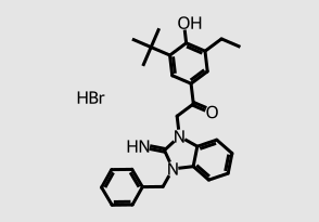 Br.CCc1cc(C(=O)Cn2c(=N)n(Cc3ccccc3)c3ccccc32)cc(C(C)(C)C)c1O